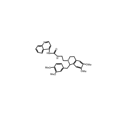 COc1ccc(CC2c3cc(OC)c(OC)cc3CCN2CCNC(=O)Nc2ccnc3ccccc23)cc1OC